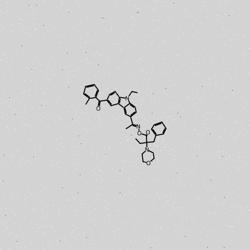 CCn1c2ccc(C(=O)c3ccccc3C)cc2c2cc(/C(C)=N/OC(=O)C(CC)(Cc3ccccc3)N3CCOCC3)ccc21